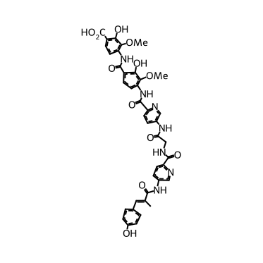 COc1c(NC(=O)c2ccc(NC(=O)c3ccc(NC(=O)CNC(=O)c4ccc(NC(=O)/C(C)=C/c5ccc(O)cc5)cn4)cn3)c(OC)c2O)ccc(C(=O)O)c1O